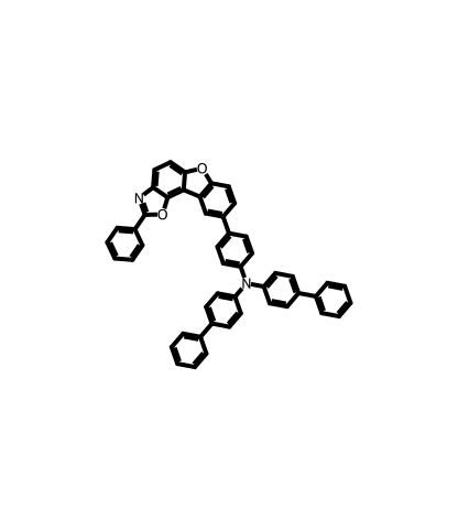 c1ccc(-c2ccc(N(c3ccc(-c4ccccc4)cc3)c3ccc(-c4ccc5oc6ccc7nc(-c8ccccc8)oc7c6c5c4)cc3)cc2)cc1